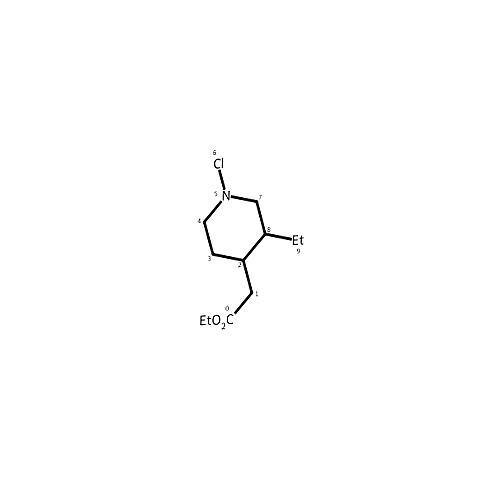 CCOC(=O)CC1CCN(Cl)CC1CC